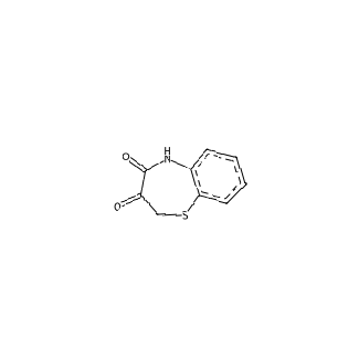 O=C1CSc2ccccc2NC1=O